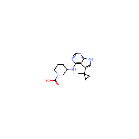 CC1(c2c[nH]c3ncnc(NC4CCCN(C(=O)O)C4)c23)CC1